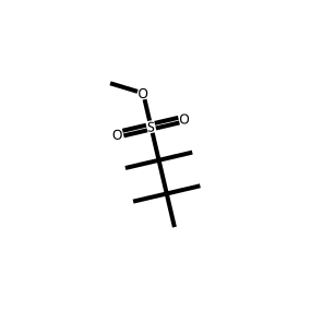 COS(=O)(=O)C(C)(C)C(C)(C)C